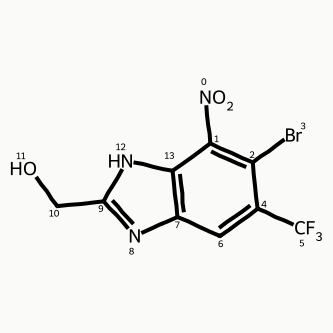 O=[N+]([O-])c1c(Br)c(C(F)(F)F)cc2nc(CO)[nH]c12